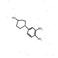 Nc1ccc(N2CCC(O)CC2)cc1N